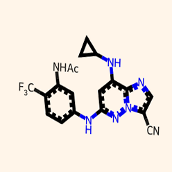 CC(=O)Nc1cc(Nc2cc(NC3CC3)c3ncc(C#N)n3n2)ccc1C(F)(F)F